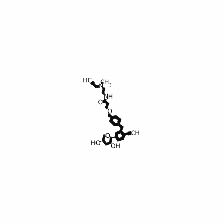 C#CCN(C)CCNC(=O)CCOCc1ccc(Cc2cc([C@@H]3OC[C@@H](O)C[C@H]3O)ccc2C#C)cc1